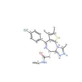 CCCCCCNC(=O)C[C@@H]1N=C(c2ccc(Cl)cc2)c2c(sc(C)c2C)-n2c(C)nnc21